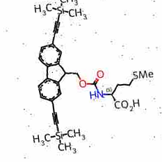 CSCC[C@H](NC(=O)OCC1c2cc(C#C[Si](C)(C)C)ccc2-c2ccc(C#C[Si](C)(C)C)cc21)C(=O)O